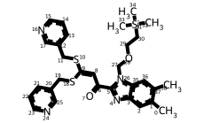 Cc1cc2nc(C(=O)C=C(SCc3cccnc3)SCc3cccnc3)n(COCC[Si](C)(C)C)c2cc1C